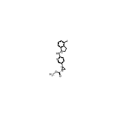 COC(=O)[C@H]1C[C@@H]1c1ccc(N[C@@H]2CCc3c(I)cccc32)nc1